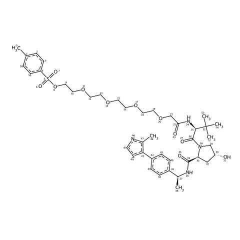 Cc1ccc(S(=O)(=O)OCCOCCOCCOCCOCC(=O)N[C@H](C(=O)N2C[C@H](O)C[C@H]2C(=O)N[C@@H](C)c2ccc(-c3scnc3C)cc2)C(C)(C)C)cc1